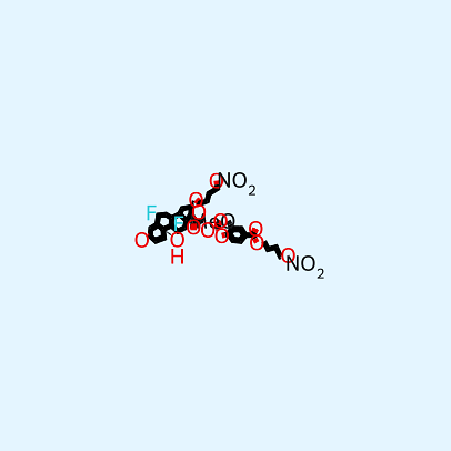 COc1cc(C(=O)OCCCCO[N+](=O)[O-])ccc1OC(=O)OCC(=O)[C@@]1(OC(=O)CCCO[N+](=O)[O-])[C@H](C)CC2C3C[C@H](F)C4=CC(=O)C=C[C@]4(C)[C@@]3(F)[C@@H](O)C[C@@]21C